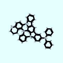 c1ccc(N(c2ccccc2)c2ccc3c(c2)c2cc4c5ccccc5n5c4c4c2n3-c2ccccc2B4c2c-5ccc3c2CCCO3)cc1